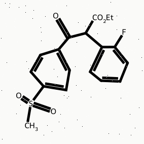 CCOC(=O)C(C(=O)c1ccc(S(C)(=O)=O)cc1)c1ccccc1F